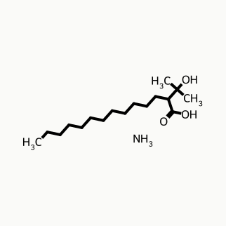 CCCCCCCCCCCCC(C(=O)O)C(C)(C)O.N